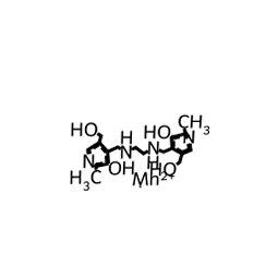 Cc1ncc(CO)c(CNCCNCc2c(CO)cnc(C)c2O)c1O.[Mn+2]